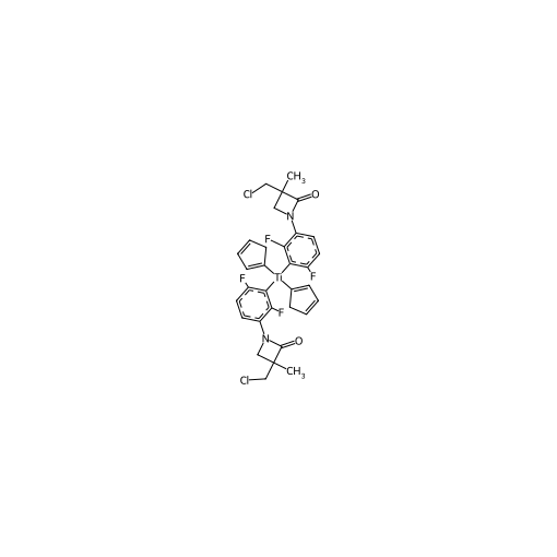 CC1(CCl)CN(c2ccc(F)[c]([Ti]([C]3=CC=CC3)([C]3=CC=CC3)[c]3c(F)ccc(N4CC(C)(CCl)C4=O)c3F)c2F)C1=O